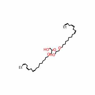 CC/C=C\C/C=C\C/C=C\CCCCCCCCOCC(CO)OC(CO)COCCCCCCCC/C=C\C/C=C\C/C=C\CC